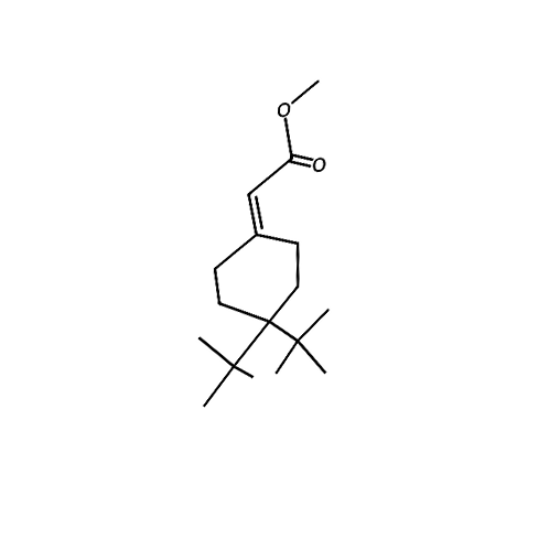 COC(=O)C=C1CCC(C(C)(C)C)(C(C)(C)C)CC1